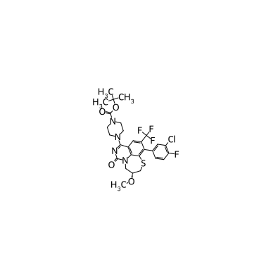 CO[C@@H]1CSc2c(-c3ccc(F)c(Cl)c3)c(C(F)(F)F)cc3c(N4CCN(C(=O)OC(C)(C)C)CC4)nc(=O)n(c23)C1